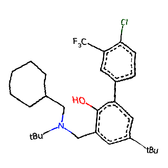 CC(C)(C)c1cc(CN(CC2CCCCC2)C(C)(C)C)c(O)c(-c2ccc(Cl)c(C(F)(F)F)c2)c1